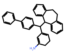 NC1=CC(C(c2ccc(-c3ccccc3)cc2)C2c3ccccc3CCc3ccccc32)=CCC1